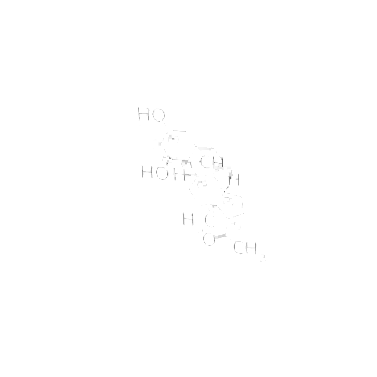 CC(=O)[C@H]1CC[C@H]2C3=CC=C4C[C@@H](O)C[C@H](O)[C@]4(C)[C@H]3CC[C@]12C